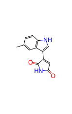 Cc1ccc2[nH]cc(C3=CC(=O)NC3=O)c2c1